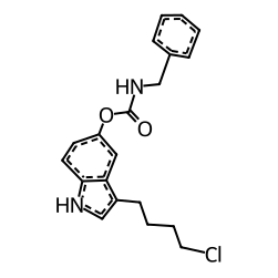 O=C(NCc1ccccc1)Oc1ccc2[nH]cc(CCCCCl)c2c1